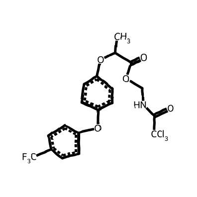 CC(Oc1ccc(Oc2ccc(C(F)(F)F)cc2)cc1)C(=O)OCNC(=O)C(Cl)(Cl)Cl